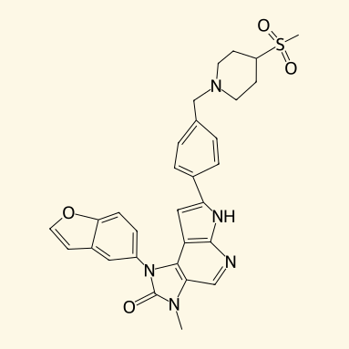 Cn1c(=O)n(-c2ccc3occc3c2)c2c3cc(-c4ccc(CN5CCC(S(C)(=O)=O)CC5)cc4)[nH]c3ncc21